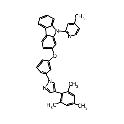 Cc1ccnc(-n2c3ccccc3c3ccc(Oc4cccc(-n5cc(-c6c(C)cc(C)cc6C)cn5)c4)cc32)c1